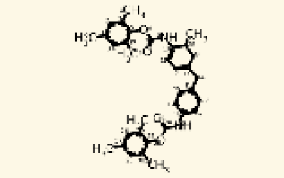 Cc1cc(C)c(OC(=O)NC2=CC=C(Cc3ccc(NC(=O)Oc4c(C)cc(C)cc4C)cc3)CC2C)c(C)c1